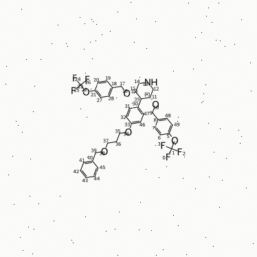 FC(F)(F)Oc1ccc(CO[C@H]2CNC[C@@H](OCc3ccc(OC(F)(F)F)cc3)C2c2ccc(OCCCOCc3ccccc3)cc2)cc1